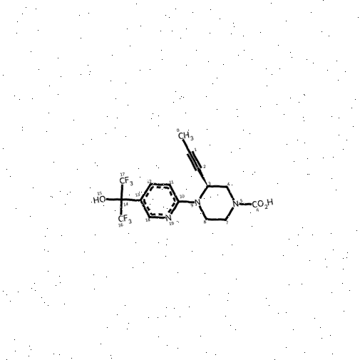 CC#C[C@H]1CN(C(=O)O)CCN1c1ccc(C(O)(C(F)(F)F)C(F)(F)F)cn1